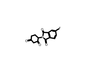 O=C1CCC(N2C(=O)c3ccc(F)cc3C2=O)C(=O)C1